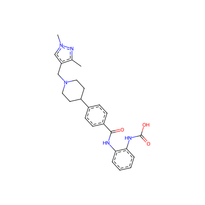 Cc1nn(C)cc1CN1CCC(c2ccc(C(=O)Nc3ccccc3NC(=O)O)cc2)CC1